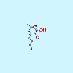 CCCCC(CCC)C(=O)C(=O)O